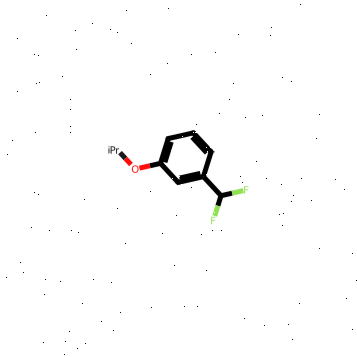 CC(C)Oc1cc[c]c(C(F)F)c1